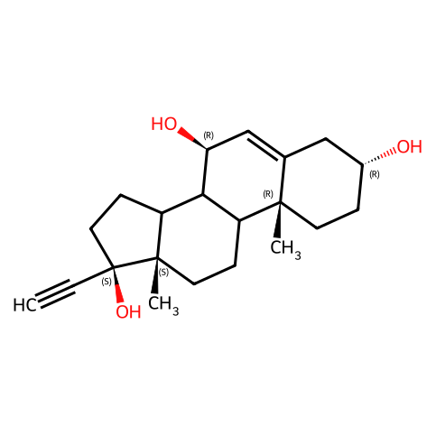 C#C[C@]1(O)CCC2C3C(CC[C@@]21C)[C@@]1(C)CC[C@@H](O)CC1=C[C@@H]3O